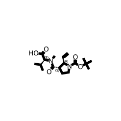 C=C[C@@H]1[C@@H](C(=O)N(C)[C@H](C(=O)O)C(C)C)CCN1C(=O)OC(C)(C)C